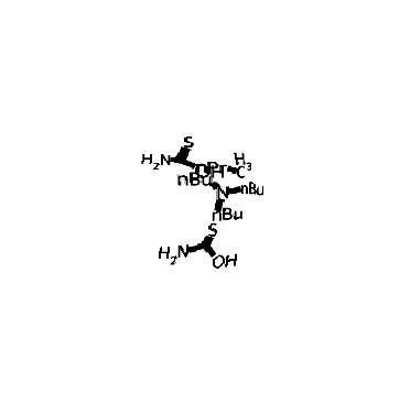 CCCC.CCCCN(CCCC)CCCC.NC(O)=S.NC(O)=S